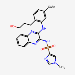 COc1ccc(CCCO)c(Nc2nc3ccccc3nc2NS(=O)(=O)c2cn(C)cn2)c1